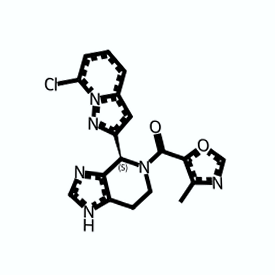 Cc1ncoc1C(=O)N1CCc2[nH]cnc2[C@H]1c1cc2cccc(Cl)n2n1